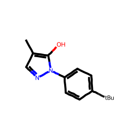 Cc1cnn(-c2ccc(C(C)(C)C)cc2)c1O